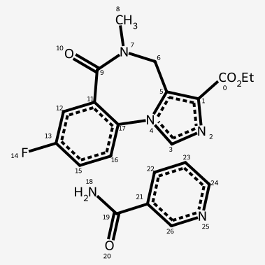 CCOC(=O)c1ncn2c1CN(C)C(=O)c1cc(F)ccc1-2.NC(=O)c1cccnc1